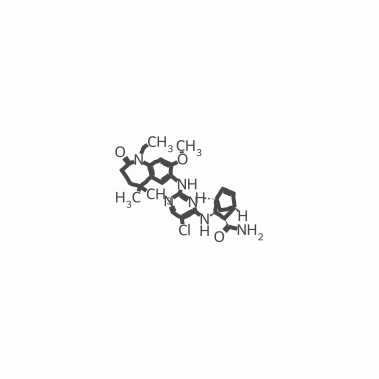 CCN1C(=O)CCC(C)(C)c2cc(Nc3ncc(Cl)c(N[C@H]4[C@@H](C(N)=O)[C@@H]5C=C[C@H]4C5)n3)c(OC)cc21